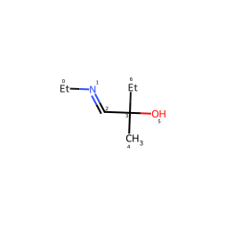 CCN=CC(C)(O)CC